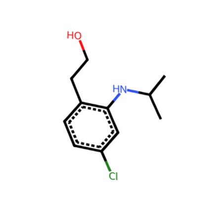 CC(C)Nc1cc(Cl)ccc1CCO